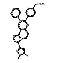 Cc1cc(-c2nnc3c4cc(-c5ccccc5)c(-c5ccc(CN)cc5)nc4ccn23)nn1C